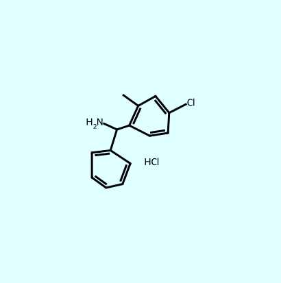 Cc1cc(Cl)ccc1C(N)c1ccccc1.Cl